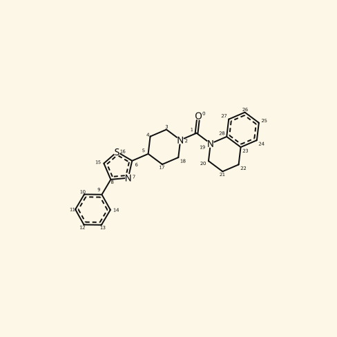 O=C(N1CCC(c2nc(-c3ccccc3)cs2)CC1)N1CCCc2ccccc21